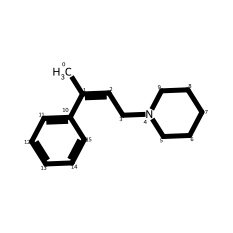 C/C(=C/CN1CCCCC1)c1ccccc1